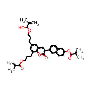 C=C(C)C(=O)OCCCc1cc(CCCOC(O)C(=C)C)cc2cc(-c3ccc4cc(OC(=O)C(=C)C)ccc4c3)c(=O)oc12